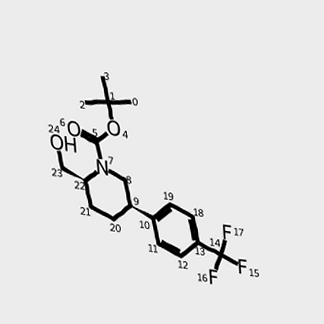 CC(C)(C)OC(=O)N1C[C@@H](c2ccc(C(F)(F)F)cc2)CC[C@H]1CO